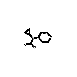 O=C(Cl)N(C1CCOCC1)C1CC1